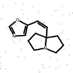 C(=C/C12CCCN1CCC2)/c1cnco1